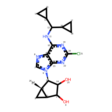 OC1C2C[C@@H]2[C@@H](n2cnc3c(NC(C4CC4)C4CC4)nc(Cl)nc32)C1O